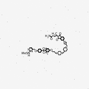 CSNc1nccc(COc2ccc(C(C)(C)c3ccc(OCCCN4CCN(CC5CCN(CC6CN(c7ccc8c(c7)C(=O)N(C(C)CCC(N)=O)C8=O)C6)CC5)CC4)cc3)cc2)n1